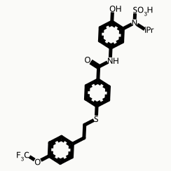 CC(C)N(c1cc(NC(=O)c2ccc(SCCc3ccc(OC(F)(F)F)cc3)cc2)ccc1O)S(=O)(=O)O